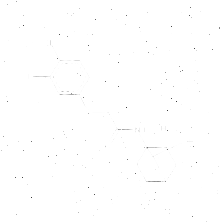 O=C(COc1ccc(Cl)c(F)c1)NC12CCC(CC1)C[C@@H]2O